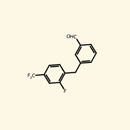 O=Cc1cccc(Cc2ccc(C(F)(F)F)cc2F)c1